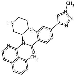 Cc1cccc2ccnc(N(C(=O)c3ccc(-c4cn(C)nn4)cc3Cl)[C@@H]3CCCNC3)c12